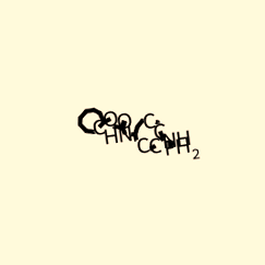 O=C(COC1CCCCCCCC1)NC1CCCCCC(NP)CCCC1